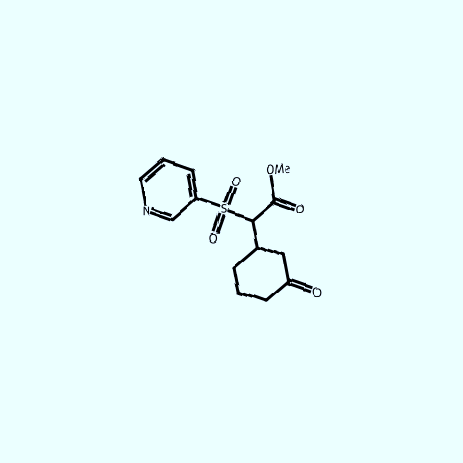 COC(=O)C(C1CCCC(=O)C1)S(=O)(=O)c1cccnc1